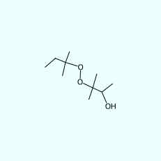 CCC(C)(C)OOC(C)(C)C(C)O